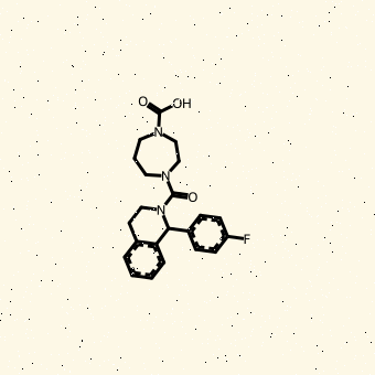 O=C(O)N1CCCN(C(=O)N2CCc3ccccc3C2c2ccc(F)cc2)CC1